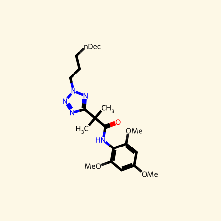 CCCCCCCCCCCCCn1nnc(C(C)(C)C(=O)Nc2c(OC)cc(OC)cc2OC)n1